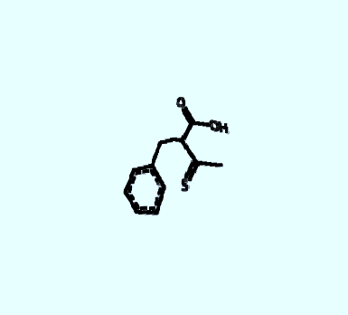 CC(=S)C(Cc1ccccc1)C(=O)O